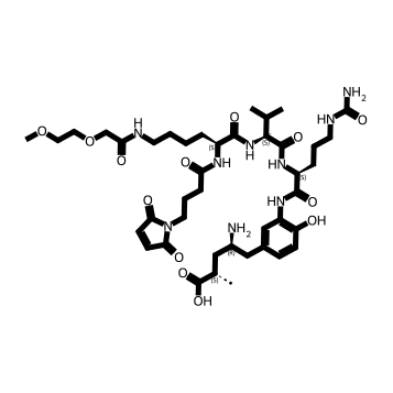 COCCOCC(=O)NCCCC[C@H](NC(=O)CCCN1C(=O)C=CC1=O)C(=O)N[C@H](C(=O)N[C@@H](CCCNC(N)=O)C(=O)Nc1cc(C[C@H](N)C[C@H](C)C(=O)O)ccc1O)C(C)C